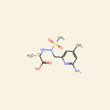 Cc1cc(N)nc(CN(N[C@@H](C)C(=O)O)S(C)(=O)=O)c1